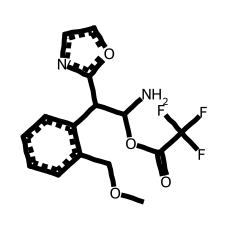 COCc1ccccc1C(c1ncco1)C(N)OC(=O)C(F)(F)F